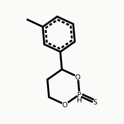 Cc1cccc(C2CCO[PH](=S)O2)c1